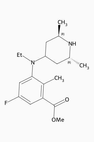 CCN(c1cc(F)cc(C(=O)OC)c1C)C1C[C@@H](C)N[C@H](C)C1